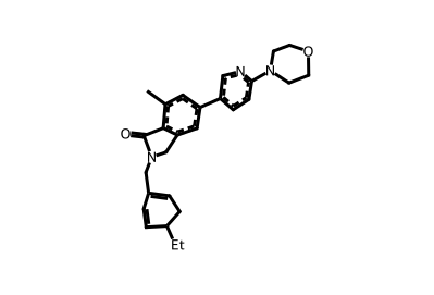 CCC1C=CC(CN2Cc3cc(-c4ccc(N5CCOCC5)nc4)cc(C)c3C2=O)=CC1